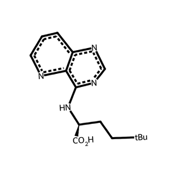 CC(C)(C)CC[C@H](Nc1ncnc2cccnc12)C(=O)O